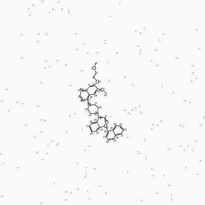 COCCOc1cc2ncnc(N3CCN(N(C=O)c4ccccc4Oc4cccc5ccccc45)CC3)c2cc1OC